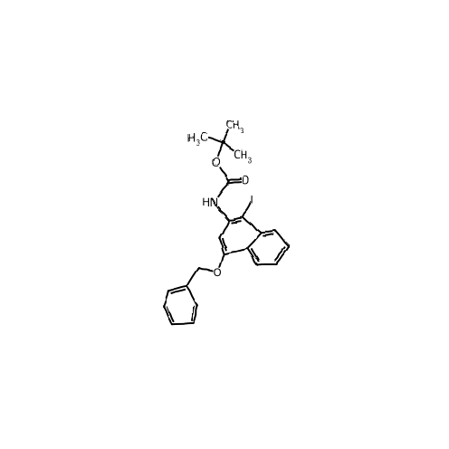 CC(C)(C)OC(=O)Nc1cc(OCc2ccccc2)c2ccccc2c1I